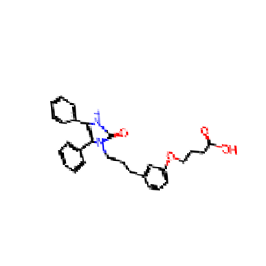 O=C(O)CCCOc1cccc(CCCn2c(-c3ccccc3)c(-c3ccccc3)[nH]c2=O)c1